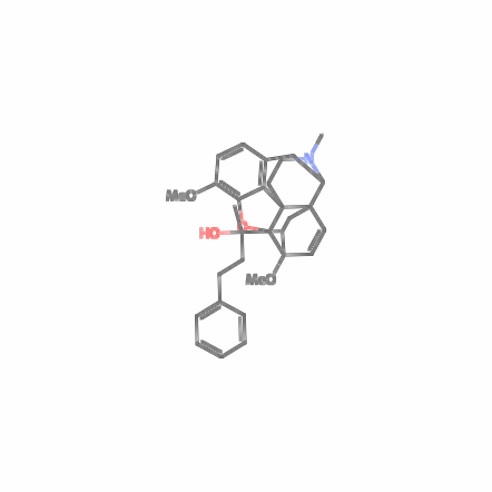 COc1ccc2c3c1OC1C4(OC)C=CC5(CC4C(C)(O)CCc4ccccc4)C(C2)N(C)CCC315